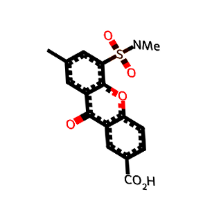 CNS(=O)(=O)c1cc(C)cc2c(=O)c3cc(C(=O)O)ccc3oc12